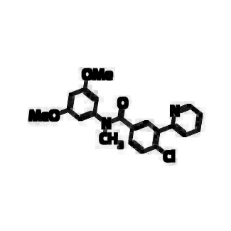 COc1cc(OC)cc(N(C)C(=O)c2ccc(Cl)c(-c3ccccn3)c2)c1